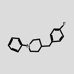 Fc1ccc(CC2CCN(c3ccccc3)CC2)cc1